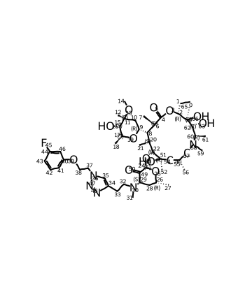 CC[C@H]1OC(=O)[C@H](C)C([C@H]2C[C@@](C)(OC)[C@@H](O)[C@H](C)O2)[C@H](C)[C@@H](O[C@@H]2O[C@H](C)C[C@H](N(C)CCc3cn(CCOc4cccc(F)c4)nn3)C2=O)[C@](C)(O)C[C@@H](C)CN(C)[C@H](C)[C@@H](O)[C@]1(C)O